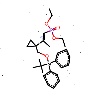 CCOP(=O)(/C=C(\C)C1(CO[Si](c2ccccc2)(c2ccccc2)C(C)(C)C)CC1)OCC